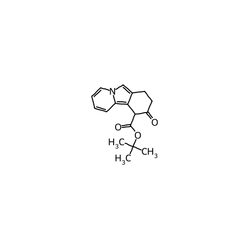 CC(C)(C)OC(=O)C1C(=O)CCc2cn3ccccc3c21